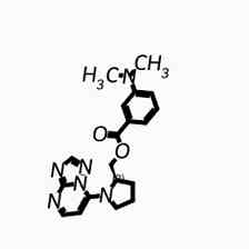 CN(C)c1cccc(C(=O)OC[C@H]2CCCN2c2ccnc3ncnn23)c1